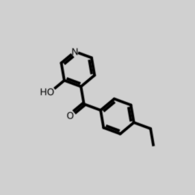 CCc1ccc(C(=O)c2ccncc2O)cc1